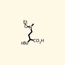 CCCCC(CCN(C)OCC)C(=O)O